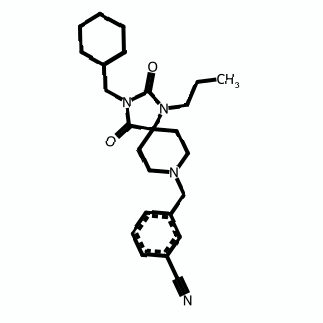 CCCN1C(=O)N(CC2CCCCC2)C(=O)C12CCN(Cc1cccc(C#N)c1)CC2